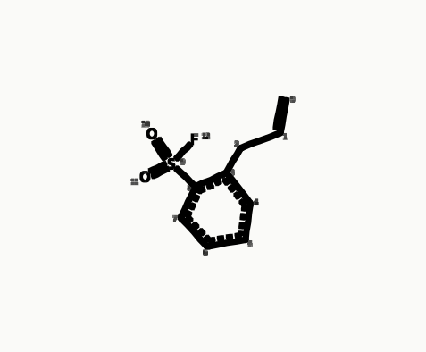 C=CCc1ccc[c]c1S(=O)(=O)F